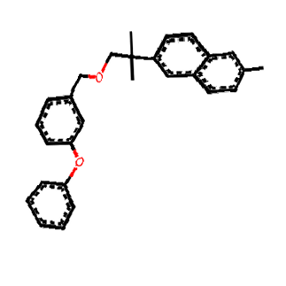 Cc1ccc2cc(C(C)(C)COCc3cccc(Oc4ccccc4)c3)ccc2c1